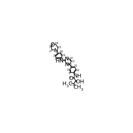 CC(C)[C@@H](O)C(=O)Nc1ccc(-c2ccnc(Nc3ccc(N4CCOCC4)cc3)n2)cc1